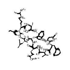 CC(C)C[C@H](NC(=O)[C@H](CC(C)C)NC(=O)[C@H](Cc1c[nH]c2ccccc12)NC(=O)[C@H](CCC(=O)O)NC(=O)[C@@H](NC(=O)[C@H](Cc1ccccc1)NC(=O)[C@@H](N)CC(=O)O)C(C)C)C(=O)N[C@@H](CCCNC(=N)N)C(=O)N[C@@H](C)C(N)=O